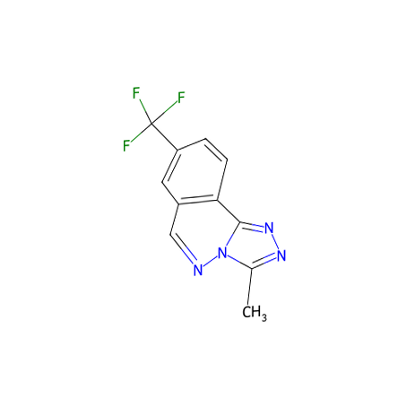 Cc1nnc2c3ccc(C(F)(F)F)cc3cnn12